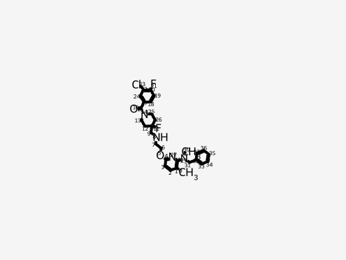 Cc1ccc(OCCNCC2(F)CCN(C(=O)c3ccc(F)c(Cl)c3)CC2)nc1N(C)Cc1ccccc1